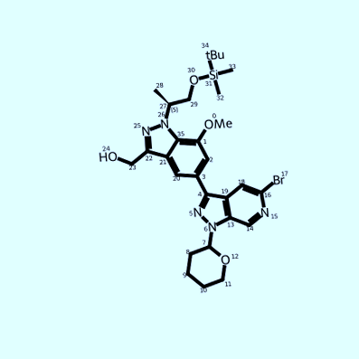 COc1cc(-c2nn(C3CCCCO3)c3cnc(Br)cc23)cc2c(CO)nn([C@@H](C)CO[Si](C)(C)C(C)(C)C)c12